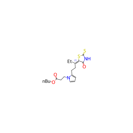 CCCCOC(=O)CCn1cccc1CC/C(CC)=C1/SC(=S)NC1=O